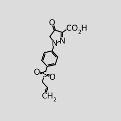 C=CCS(=O)(=O)c1ccc(N2CC(=O)C(C(=O)O)=N2)cc1